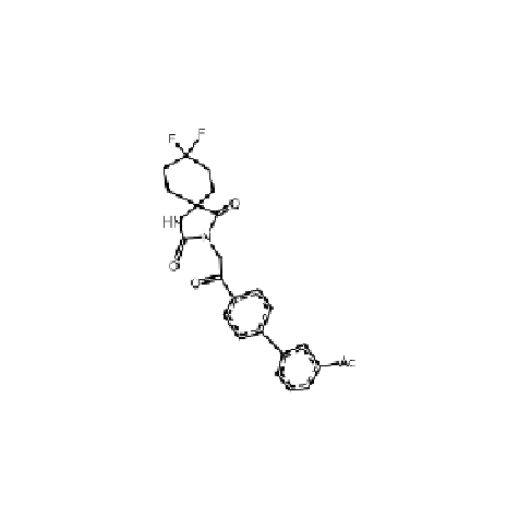 CC(=O)c1cccc(-c2ccc(C(=O)CN3C(=O)NC4(CCC(F)(F)CC4)C3=O)cc2)c1